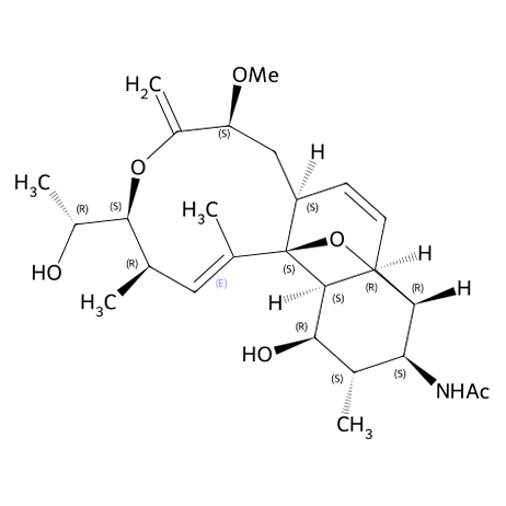 C=C1O[C@H]([C@@H](C)O)[C@H](C)/C=C(\C)[C@]23O[C@@H]4[C@H](C=C[C@@H]2C[C@@H]1OC)[C@H]3[C@H](O)[C@@H](C)[C@@H]4NC(C)=O